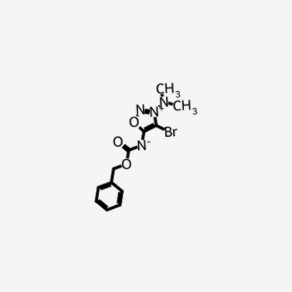 CN(C)[n+]1noc([N-]C(=O)OCc2ccccc2)c1Br